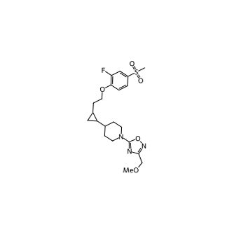 COCc1noc(N2CCC(C3CC3CCOc3ccc(S(C)(=O)=O)cc3F)CC2)n1